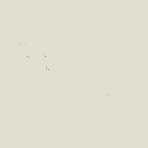 Cc1cn2cc(-c3cc4ccc(C5=CCN(C6COC6)CC5)cc4c(=O)o3)nc2c(C)n1